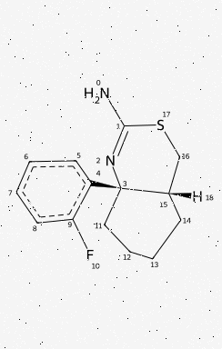 NC1=N[C@@]2(c3ccccc3F)CCCC[C@H]2CS1